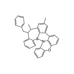 Cc1cc2c3c(c1)C(C)C(Cc1ccccc1)c1ccccc1B3N1c3ccccc3Oc3cccc-2c31